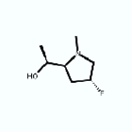 C[C@H](O)C1C[C@@H](F)CN1C